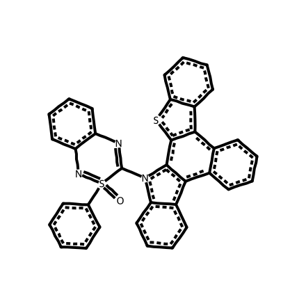 O=S1(c2ccccc2)=Nc2ccccc2N=C1n1c2ccccc2c2c3ccccc3c3c4ccccc4sc3c21